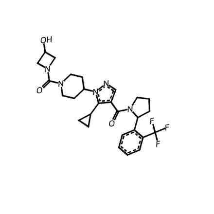 O=C(N1CCC(n2ncc(C(=O)N3CCCC3c3ccccc3C(F)(F)F)c2C2CC2)CC1)N1CC(O)C1